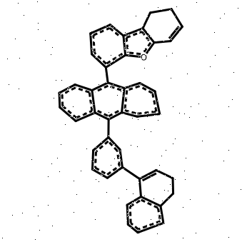 C1=Cc2oc3c(-c4c5ccccc5c(-c5cccc(C6=CCCc7ccccc76)c5)c5ccccc45)cccc3c2CC1